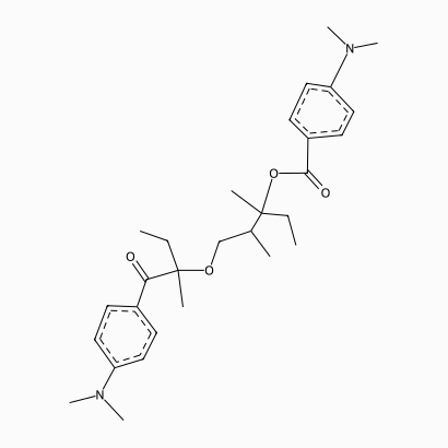 CCC(C)(OCC(C)C(C)(CC)OC(=O)c1ccc(N(C)C)cc1)C(=O)c1ccc(N(C)C)cc1